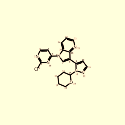 Clc1nccc(-n2cc(-c3ccnn3C3CCCCO3)c3ncccc32)n1